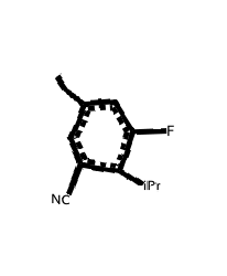 Cc1cc(F)c(C(C)C)c(C#N)c1